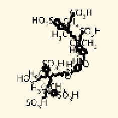 C\C(=C/C=C/C(CCCCCC(=O)NCc1ccc(C(=O)NCc2ccc3c(C)c(/[N+](CCCS(=O)(=O)O)=C(C)/C=C/C=C(\C)N(CCCCCC(=O)O)c4ccc5cc(S(=O)(=O)O)ccc5c4C)ccc3c2)cc1)=[N+](\CCCS(=O)(=O)O)c1ccc(S(=O)(=O)O)cc1C)N(CCCS(=O)(=O)O)c1ccc(S(=O)(=O)O)cc1C